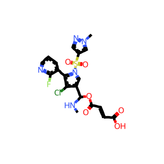 CNC(OC(=O)/C=C/C(=O)O)c1cn(S(=O)(=O)c2cnn(C)c2)c(-c2cccnc2F)c1Cl